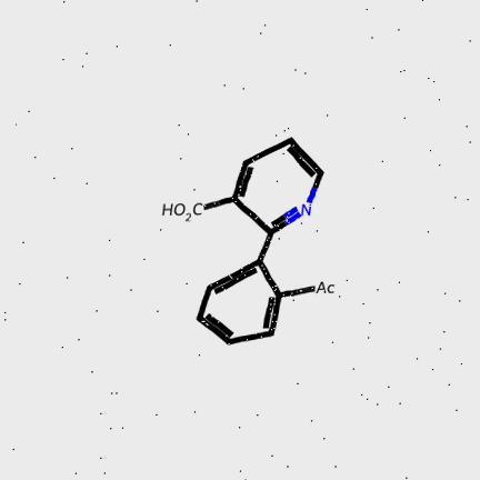 CC(=O)c1ccccc1-c1ncccc1C(=O)O